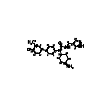 Cn1cc(-c2ccc(N(C(=O)NCc3cn[nH]c3)[C@H]3CC[C@H](N)CC3)cc2)ccc1=O